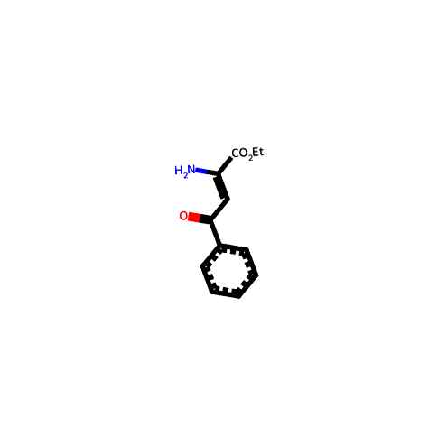 CCOC(=O)C(N)=CC(=O)c1ccccc1